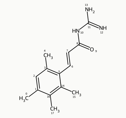 Cc1cc(C)c(/C=C/C(=O)NC(=N)N)c(C)c1C